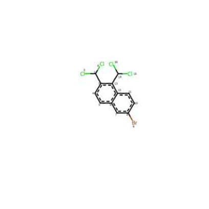 ClC(Cl)c1ccc2cc(Br)ccc2c1C(Cl)Cl